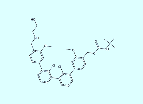 COc1cc(-c2nccc(-c3cccc(-c4ccc(COC(=O)NC(C)(C)C)c(OC)n4)c3Cl)c2Cl)ccc1CNCCO